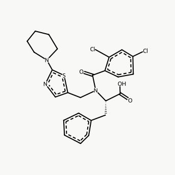 O=C(O)[C@H](Cc1ccccc1)N(Cc1cnc(N2CCCCC2)s1)C(=O)c1ccc(Cl)cc1Cl